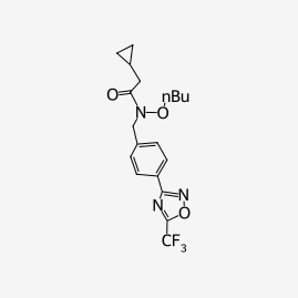 CCCCON(Cc1ccc(-c2noc(C(F)(F)F)n2)cc1)C(=O)CC1CC1